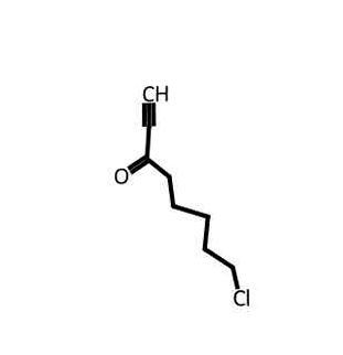 C#CC(=O)CCCCCCl